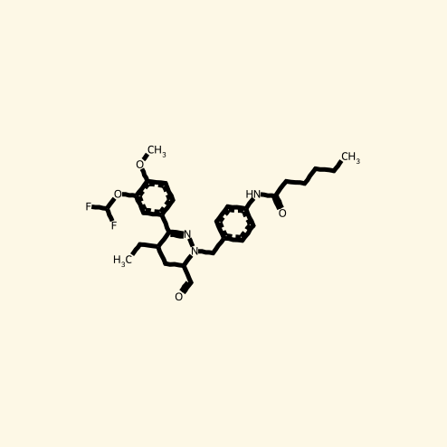 CCCCCC(=O)Nc1ccc(CN2N=C(c3ccc(OC)c(OC(F)F)c3)C(CC)CC2C=O)cc1